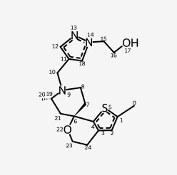 Cc1cc2c(s1)[C@]1(CCN(Cc3cnn(CCO)c3)[C@@H](C)C1)OCC2